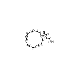 CP(=O)(OCS)N1CCOCCOCCOCCOCC1